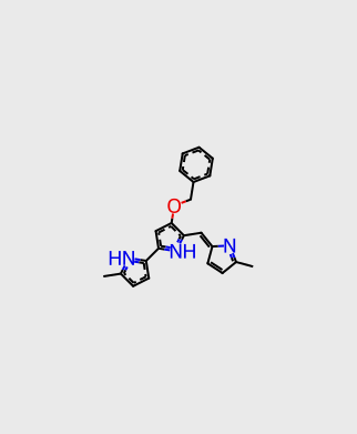 CC1=NC(=Cc2[nH]c(-c3ccc(C)[nH]3)cc2OCc2ccccc2)C=C1